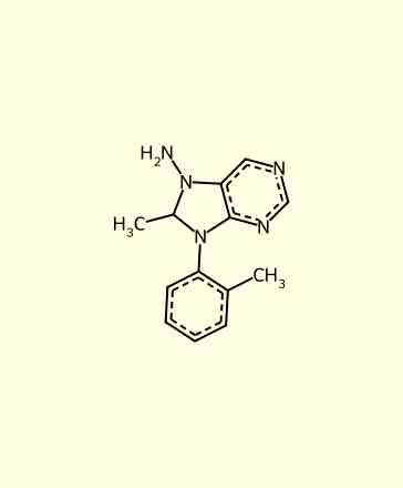 Cc1ccccc1N1c2ncncc2N(N)C1C